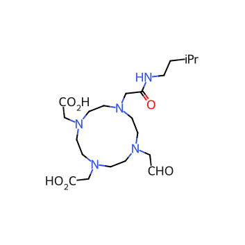 CC(C)CCNC(=O)CN1CCN(CC=O)CCN(CC(=O)O)CCN(CC(=O)O)CC1